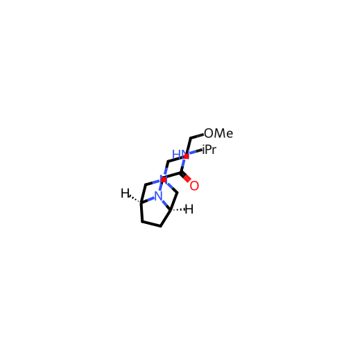 COCCCN1C[C@H]2CC[C@@H](C1)N2CC(=O)NC(C)C